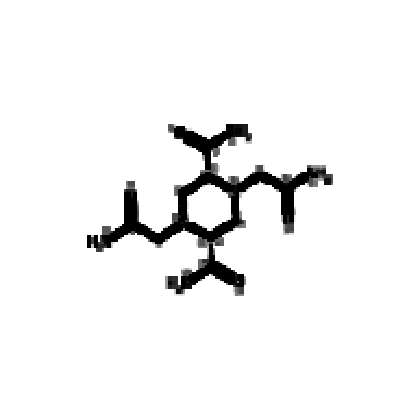 NC(=O)CN1C[C@H](C(N)=O)N(CC(N)=O)C[C@@H]1C(N)=O